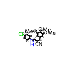 COc1cc(CC(C#N)=CNc2ccc(Cl)cc2)cc(OC)c1OC